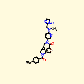 CN(Cc1ncc[nH]1)c1ccc(N(CC2C3CN(C(=O)c4ccc(C(C)(C)C)cc4)CC32)C(=O)c2cccs2)cn1